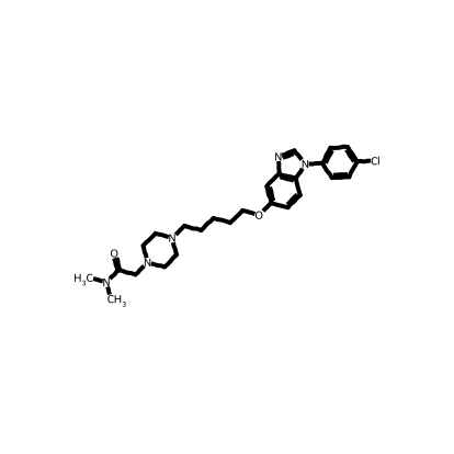 CN(C)C(=O)CN1CCN(CCCCCOc2ccc3c(c2)ncn3-c2ccc(Cl)cc2)CC1